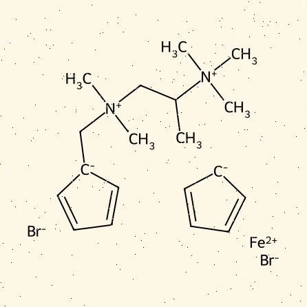 CC(C[N+](C)(C)C[c-]1cccc1)[N+](C)(C)C.[Br-].[Br-].[Fe+2].c1cc[cH-]c1